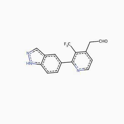 O=CCc1ccnc(-c2ccc3[nH]ncc3c2)c1C(F)(F)F